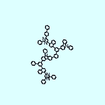 C1=CCC(n2c3ccc(-c4cc(-c5ccccc5)cc(-c5ccc(-c6cc(-c7ccccc7)nc(-c7ccccc7)n6)c6ccccc56)c4)cc3c3ccc(-c4cccc(-c5cc(-c6ccc7c(c6)c6ccccc6n7-c6ccccc6)cc(-c6ccc(-c7cc(-c8ccc(-c9ccccc9)cc8)nc(-c8ccccc8)n7)c7ccccc67)c5)c4)cc32)C=C1